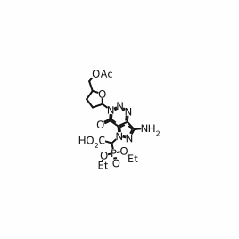 CCOP(=O)(OCC)C(C(=O)O)n1nc(N)c2nnn(C3CCC(COC(C)=O)O3)c(=O)c21